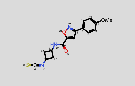 COc1ccc(-c2cc(C(=O)NC3CC(N=C=S)C3)on2)cc1